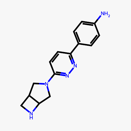 Nc1ccc(-c2ccc(N3CC4CNC4C3)nn2)cc1